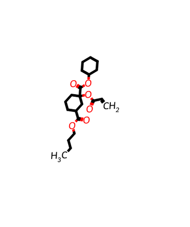 C=CC(=O)OC1(C(=O)OC2CCCCC2)CCCC(C(=O)OCCCC)C1